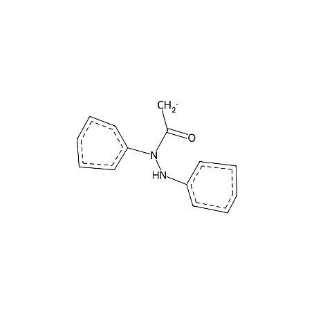 [CH2]C(=O)N(Nc1ccccc1)c1ccccc1